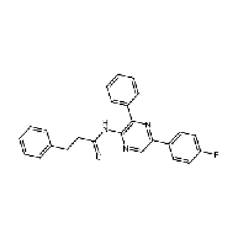 O=C(CCc1ccccc1)Nc1ncc(-c2ccc(F)cc2)nc1-c1ccccc1